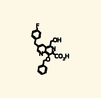 O=C(O)c1nc(CO)c2cc(Cc3ccc(F)cc3)cnc2c1OCc1ccccc1